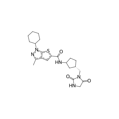 Cc1nn(C2CCCCC2)c2sc(C(=O)NC3CC[C@H](CN4C(=O)CNC4=O)C3)cc12